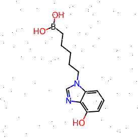 OB(O)CCCCCn1cnc2c(O)cccc21